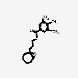 Cc1cc(C(=O)OCCCC23CCCCC2O3)cc(C)c1C